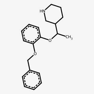 CC(Oc1ccccc1OCc1ccccc1)C1CCCNC1